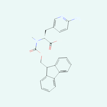 CN(C(=O)OCC1c2ccccc2-c2ccccc21)[C@@H](Cc1ccc(N)nc1)C(=O)O